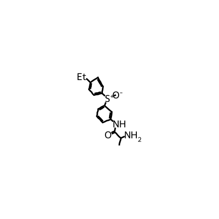 CCc1ccc([S+]([O-])c2cccc(NC(=O)C(C)N)c2)cc1